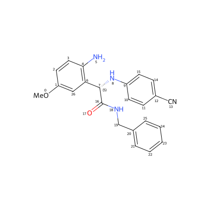 COc1ccc(N)c([C@H](Nc2ccc(C#N)cc2)C(=O)NCc2ccccc2)c1